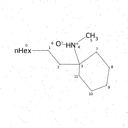 CCCCCCCCC1([NH+](C)[O-])CCCCC1